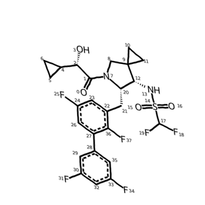 O=C([C@@H](O)C1CC1)N1CC2(CC2)[C@H](NS(=O)(=O)C(F)F)[C@@H]1Cc1cc(F)cc(-c2cc(F)cc(F)c2)c1F